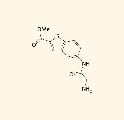 COC(=O)c1cc2cc(NC(=O)CN)ccc2s1